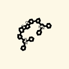 c1ccc(-c2cc(-c3cccc(-c4ccc5oc6c(ccc7c8cc(-c9cccc(-c%10cc(-c%11ccccc%11)nc(-c%11ccccc%11)n%10)c9)ccc8oc76)c5c4)c3)nc(-c3ccccc3)n2)cc1